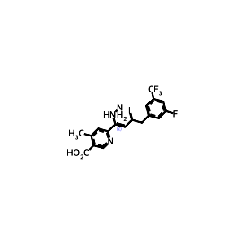 Cc1cc(/C(=C/C(I)Cc2cc(F)cc(C(F)(F)F)c2)NN)ncc1C(=O)O